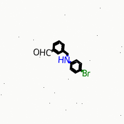 O=Cc1cccc(CNc2ccc(Br)cc2)c1